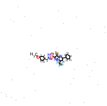 COc1ccc(CNOC(=O)c2nn3c(C(F)(F)F)cc(-c4ccccc4)nc3c2Br)cc1